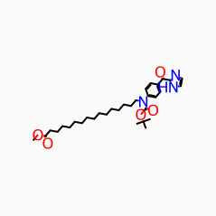 COC(=O)CCCCCCCCCCCCCCCN(C(=O)OC(C)(C)C)c1ccc(C(=O)c2ncc[nH]2)cc1